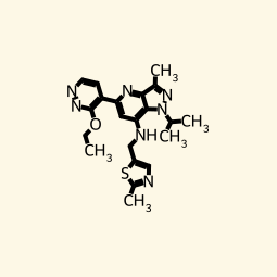 CCOc1nnccc1-c1cc(NCc2cnc(C)s2)c2c(n1)c(C)nn2C(C)C